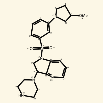 CO[C@@H]1CCN(c2cccc(S(=O)(=O)N3CC(N4CCNCC4)c4ncccc43)c2)C1